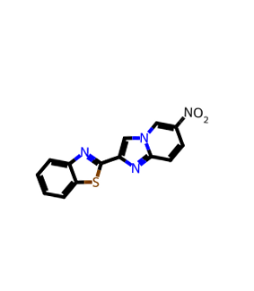 O=[N+]([O-])c1ccc2nc(-c3nc4ccccc4s3)cn2c1